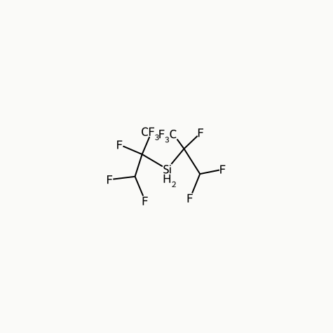 FC(F)C(F)([SiH2]C(F)(C(F)F)C(F)(F)F)C(F)(F)F